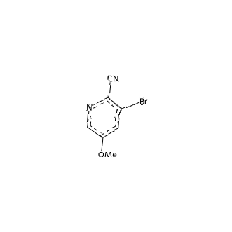 COc1cnc(C#N)c(Br)c1